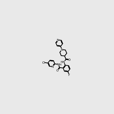 O=C(Nc1ccc(Cl)cn1)c1cc(F)ccc1NC(=O)C1CCN(c2ccncc2)CC1